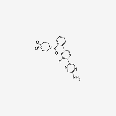 Nc1cnc(-c2ccc(-c3ccccc3C(=O)N3CCS(=O)(=O)CC3)cc2F)cn1